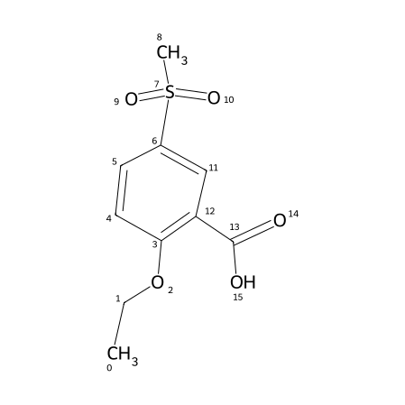 CCOc1ccc(S(C)(=O)=O)cc1C(=O)O